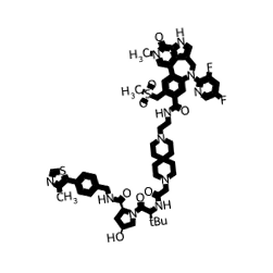 Cc1ncsc1-c1ccc(CNC(=O)[C@@H]2C[C@@H](O)CN2C(=O)[C@@H](NC(=O)CN2CCC3(CCN(CCNC(=O)c4cc5c(cc4CS(C)(=O)=O)-c4cn(C)c(=O)c6[nH]cc(c46)CN5c4ncc(F)cc4F)CC3)CC2)C(C)(C)C)cc1